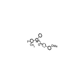 COc1cccc(C2=CCN(C(=O)Cn3nc(-c4ccc(F)c(C)c4)cc3-c3ccccc3)CC2)c1